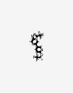 C[C@@H](Oc1ccc(-c2cn3c(C(F)(F)F)nnc3cn2)cn1)C(F)(F)F